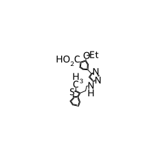 CCOc1cc(-c2cc(NCCc3c(C)sc4ccccc34)ncn2)ccc1C(=O)O